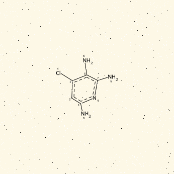 Nc1cc(Cl)c(N)c(N)n1